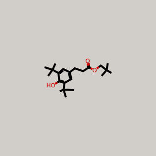 CC(C)(C)COC(=O)CCc1cc(C(C)(C)C)c(O)c(C(C)(C)C)c1